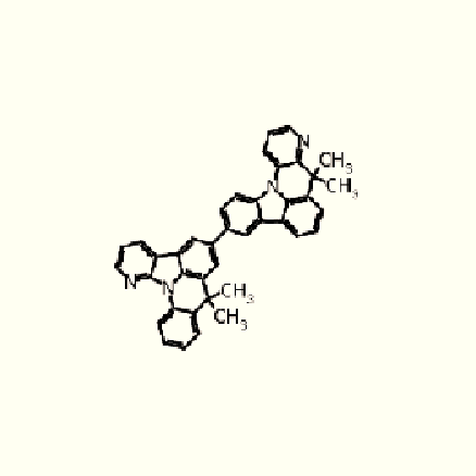 CC1(C)c2ncccc2-n2c3ccc(-c4cc5c6c(c4)c4cccnc4n6-c4ccccc4C5(C)C)cc3c3cccc1c32